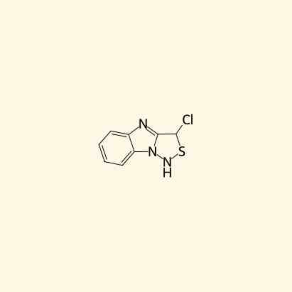 ClC1SNn2c1nc1ccccc12